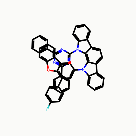 Fc1ccc(-c2cc(-n3c4ccccc4c4ccc5c6ccccc6n(-c6nc(-c7ccccc7)nc(-c7ccccc7)n6)c5c43)cc3c2oc2ccccc23)cc1